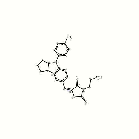 Cc1ccc(N2c3ccc(/C=C4/SC(=S)N(CCC(=O)O)C4=O)cc3C3CCCC32)cc1